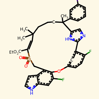 CCOC(=O)/C1=C\C(C)(C)CCCC(C)(c2cccc(I)c2)c2cnc([nH]2)-c2cc(ccc2F)Oc2c(F)cc3[nH]ccc3c2CS1(=O)=O